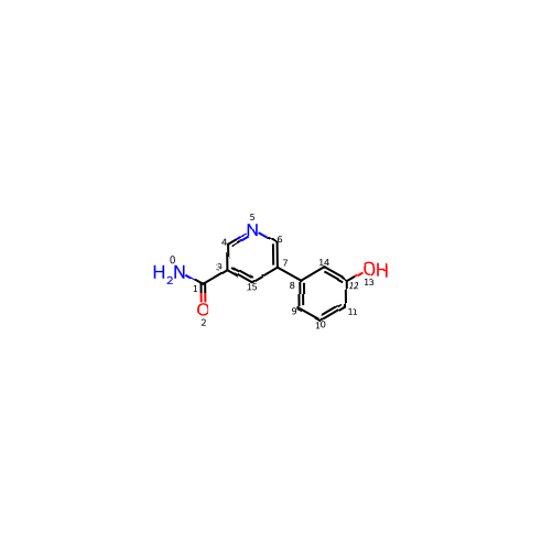 NC(=O)c1cncc(-c2cccc(O)c2)c1